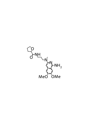 COc1cc2cc(N(C)CCCNC(=O)C3CCCO3)nc(N)c2cc1OC